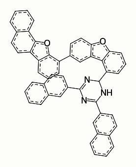 c1ccc2cc(C3=NC(c4cccc5oc6ccc(-c7cccc8c7oc7c9ccccc9ccc87)cc6c45)NC(c4ccc5ccccc5c4)=N3)ccc2c1